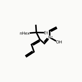 C=C/C=C(\C=[N+](\O)C=C)C(C)(CC)CCCCCC